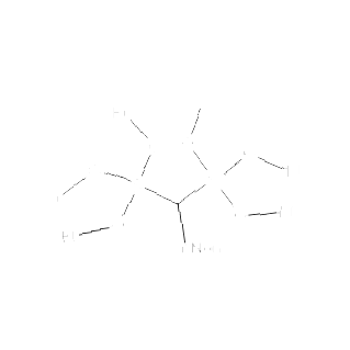 CCCCCCCCCC([Si](OCC)(OCC)OCC)[Si](OCC)(OCC)OCC